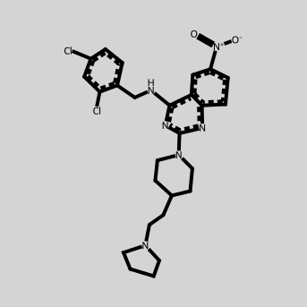 O=[N+]([O-])c1ccc2nc(N3CCC(CCN4CCCC4)CC3)nc(NCc3ccc(Cl)cc3Cl)c2c1